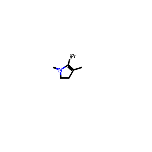 CC1=C(C(C)C)N(C)CC1